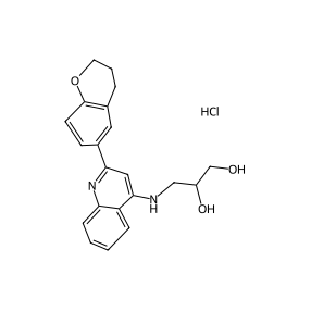 Cl.OCC(O)CNc1cc(-c2ccc3c(c2)CCCO3)nc2ccccc12